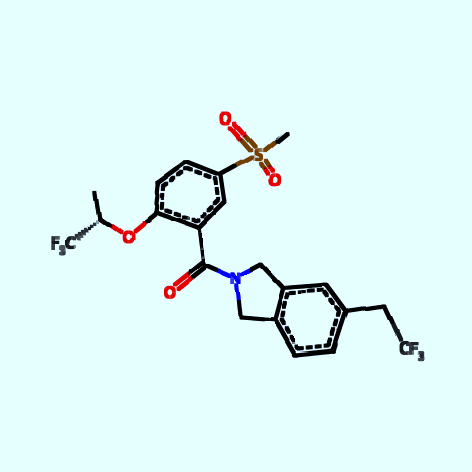 C[C@H](Oc1ccc(S(C)(=O)=O)cc1C(=O)N1Cc2ccc(CC(F)(F)F)cc2C1)C(F)(F)F